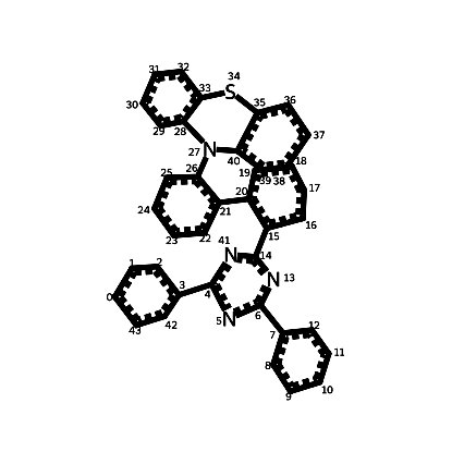 c1ccc(-c2nc(-c3ccccc3)nc(-c3ccccc3-c3ccccc3N3c4ccccc4Sc4ccccc43)n2)cc1